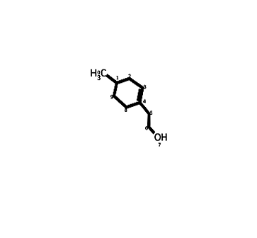 CC1CC=C(CCO)CC1